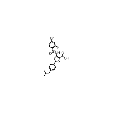 CC(C)Cc1ccc(C2CC(N[S+]([O-])c3ccc(Br)cc3F)=C(C(=O)O)S2)cc1